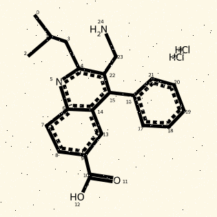 CC(C)Cc1nc2ccc(C(=O)O)cc2c(-c2ccccc2)c1CN.Cl.Cl